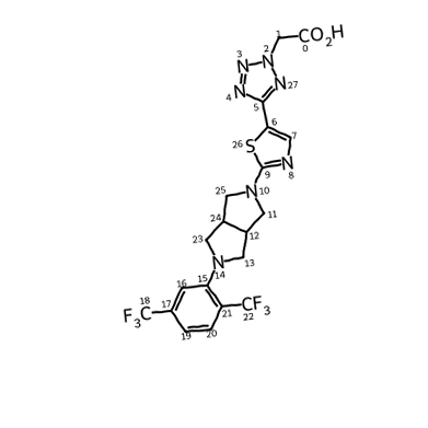 O=C(O)Cn1nnc(-c2cnc(N3CC4CN(c5cc(C(F)(F)F)ccc5C(F)(F)F)CC4C3)s2)n1